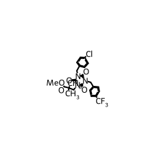 COC(=O)C(C)(C)Cn1c(=O)n(Cc2ccc(Cl)cc2)c(=O)n(Cc2ccc(C(F)(F)F)cc2)c1=O